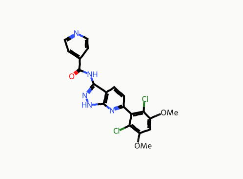 COc1cc(OC)c(Cl)c(-c2ccc3c(NC(=O)c4ccncc4)n[nH]c3n2)c1Cl